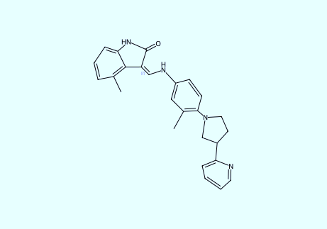 Cc1cc(N/C=C2\C(=O)Nc3cccc(C)c32)ccc1N1CCC(c2ccccn2)C1